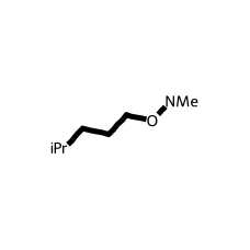 CNOCCCC(C)C